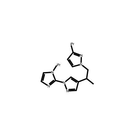 CC(C)c1ccn(CC(C)c2cnn(-c3nccn3C(C)C)c2)n1